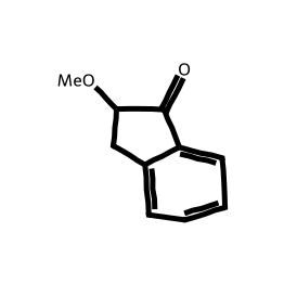 COC1Cc2ccccc2C1=O